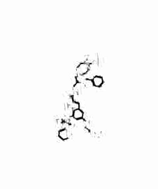 COCCOc1cc(NS(=O)(=O)c2ccccn2)c2[nH]c(C(=O)NCC(CN3CCS(O)(O)CC3)SCc3ccccc3)cc2c1